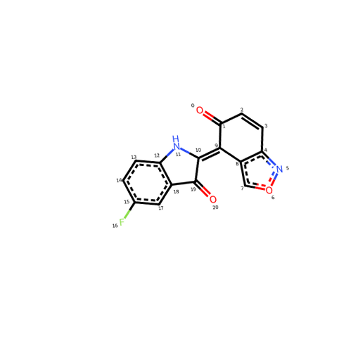 O=C1C=Cc2nocc2C1=C1Nc2ccc(F)cc2C1=O